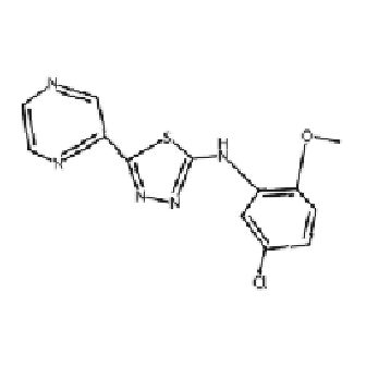 COc1ccc(Cl)cc1Nc1nnc(-c2cnccn2)s1